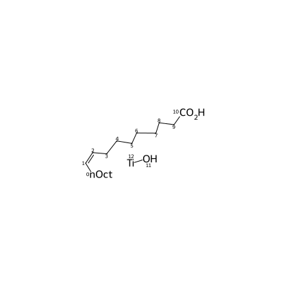 CCCCCCCC/C=C\CCCCCCCC(=O)O.[OH][Ti]